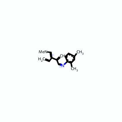 C=C/C(=C\NC)C(=C)/C=N\c1ccc(C)cc1C